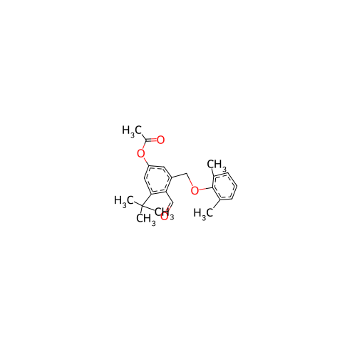 CC(=O)Oc1cc(COc2c(C)cccc2C)c(C=O)c(C(C)(C)C)c1